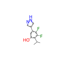 CC(C)c1c(O)cc(-c2cn[nH]c2)c(F)c1F